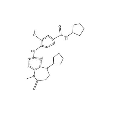 COc1cc(C(=O)NC2CCCC2)ccc1Nc1ncc2c(n1)N(C1CCCC1)CCC(=O)N2C